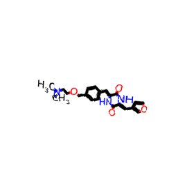 CN(C)CCOCc1ccc(C=c2[nH]c(=O)c(=Cc3ccoc3)[nH]c2=O)cc1